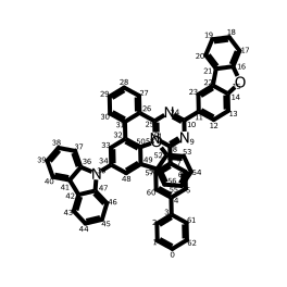 c1ccc(-c2ccc(-c3nc(-c4ccc5oc6ccccc6c5c4)nc(-c4ccccc4-c4cc(-n5c6ccccc6c6ccccc65)cc5c4oc4ccccc45)n3)cc2)cc1